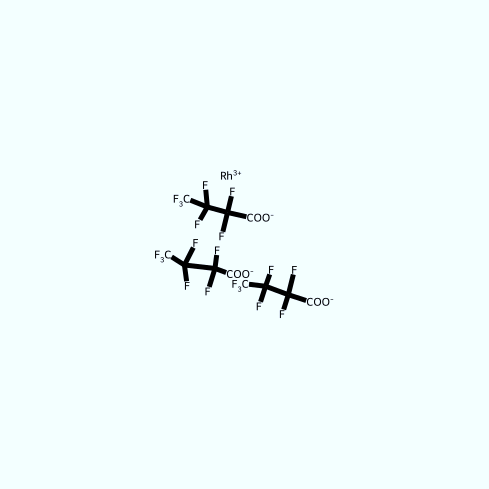 O=C([O-])C(F)(F)C(F)(F)C(F)(F)F.O=C([O-])C(F)(F)C(F)(F)C(F)(F)F.O=C([O-])C(F)(F)C(F)(F)C(F)(F)F.[Rh+3]